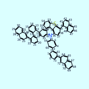 c1cc(-c2ccc(N(c3ccc(-c4ccccc4-c4ccccc4-c4ccc5ccccc5c4)cc3)c3ccc(-c4cccc5ccccc45)c4sc5ccccc5c34)cc2)cc(-c2ccc3ccccc3c2)c1